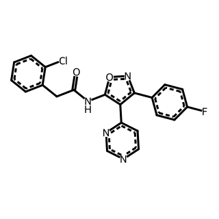 O=C(Cc1ccccc1Cl)Nc1onc(-c2ccc(F)cc2)c1-c1ccncn1